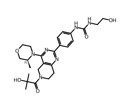 C[C@H]1COCCN1c1nc(-c2ccc(NC(=O)NCCO)cc2)nc2c1CN(C(=O)C(C)(C)O)CC2